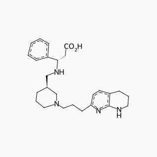 O=C(O)C[C@H](NC[C@@H]1CCCN(CCCc2ccc3c(n2)NCCC3)C1)c1ccccc1